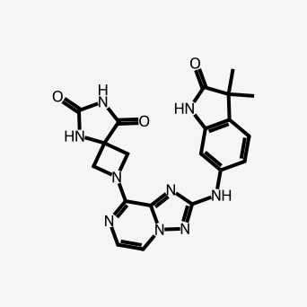 CC1(C)C(=O)Nc2cc(Nc3nc4c(N5CC6(C5)NC(=O)NC6=O)nccn4n3)ccc21